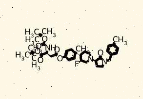 Cc1ccc(CN2CC[C@@H](N3CC[C@@H](C4(C)C=CC(OC(=O)C[C@H](NC(=O)OC(C)(C)C)C(=O)OC(C)(C)C)=CC4)[C@H](F)C3)C2=O)cc1